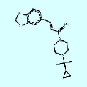 CC(C)(C1CC1)N1CCN(C(=O)C=Cc2ccc3c(c2)OCO3)CC1.Cl